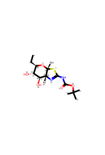 CC[C@H]1O[C@@H]2SC(NC(=O)OC(C)(C)C)=N[C@@H]2[C@@H](O)[C@@H]1O